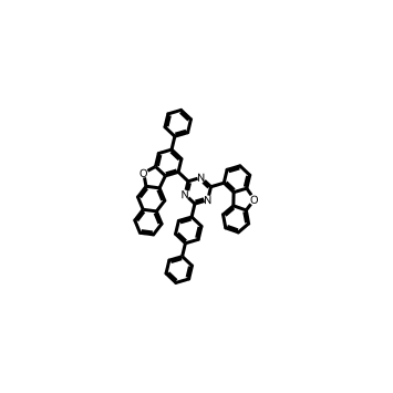 c1ccc(-c2ccc(-c3nc(-c4cccc5oc6ccccc6c45)nc(-c4cc(-c5ccccc5)cc5oc6cc7ccccc7cc6c45)n3)cc2)cc1